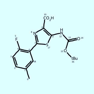 Cc1ccc(F)c(-c2nc(C(=O)O)c(NC(=O)OC(C)(C)C)s2)c1